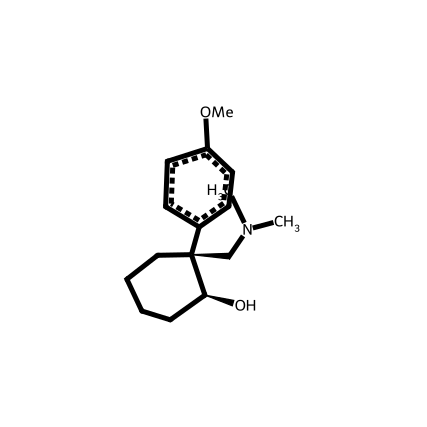 COc1ccc([C@@]2(CN(C)C)CCCC[C@@H]2O)cc1